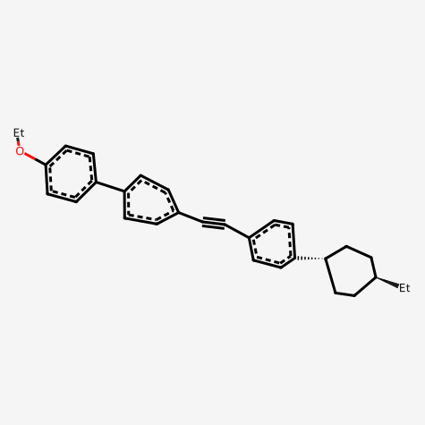 CCOc1ccc(-c2ccc(C#Cc3ccc([C@H]4CC[C@H](CC)CC4)cc3)cc2)cc1